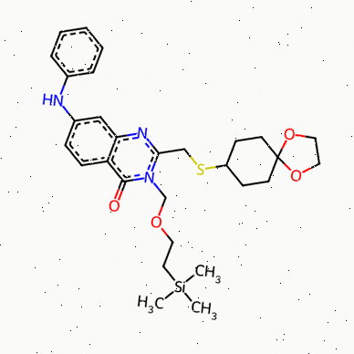 C[Si](C)(C)CCOCn1c(CSC2CCC3(CC2)OCCO3)nc2cc(Nc3ccccc3)ccc2c1=O